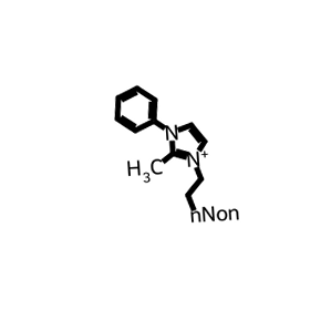 CCCCCCCCCCC[n+]1ccn(-c2ccccc2)c1C